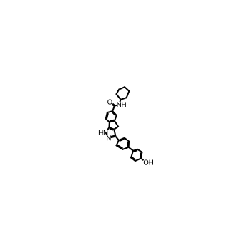 O=C(NC1CCCCC1)c1ccc2c(c1)Cc1c(-c3ccc(-c4ccc(O)cc4)cc3)n[nH]c1-2